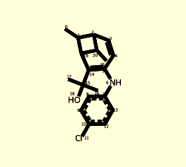 CC1C2C=CC(Nc3ccc(Cl)cc3)=C(C(C)(C)O)C1C2C